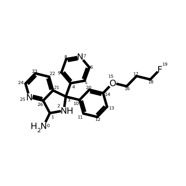 NC1NC(c2ccncc2)(c2cccc(OCCCF)c2)c2cccnc21